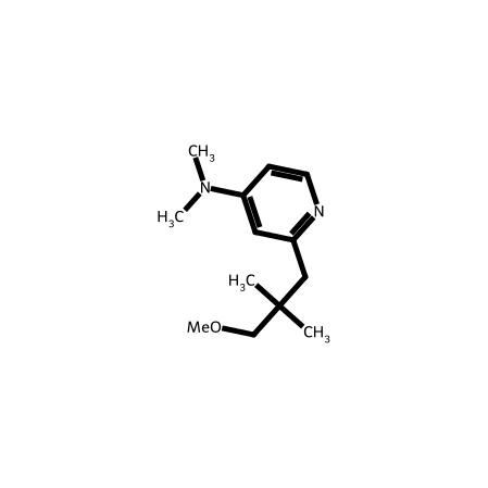 COCC(C)(C)Cc1cc(N(C)C)ccn1